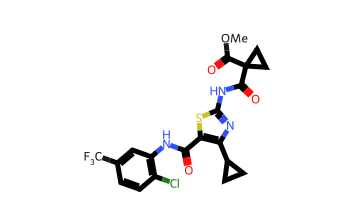 COC(=O)C1(C(=O)Nc2nc(C3CC3)c(C(=O)Nc3cc(C(F)(F)F)ccc3Cl)s2)CC1